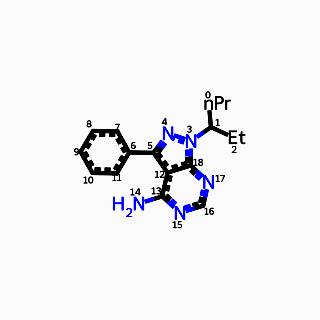 CCCC(CC)n1nc(-c2ccccc2)c2c(N)ncnc21